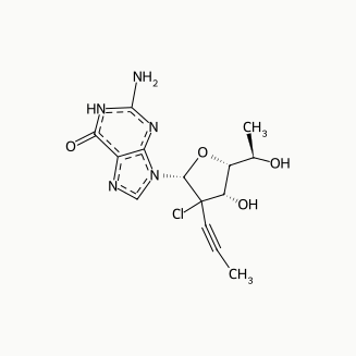 CC#CC1(Cl)[C@@H](O)[C@@H]([C@@H](C)O)O[C@H]1n1cnc2c(=O)[nH]c(N)nc21